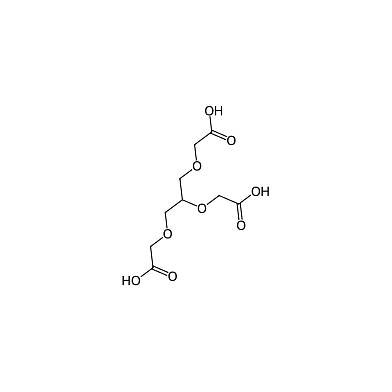 O=C(O)COCC(COCC(=O)O)OCC(=O)O